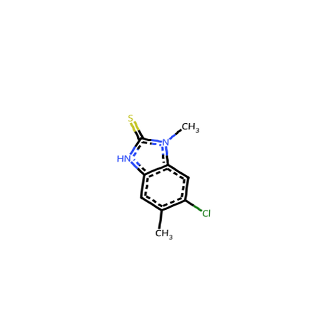 Cc1cc2[nH]c(=S)n(C)c2cc1Cl